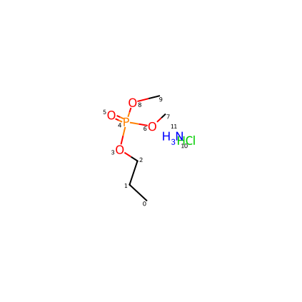 CCCOP(=O)(OC)OC.Cl.N